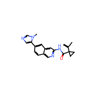 C=C(C)C1(C(=O)Nc2cc3cc(-c4cncn4C)ccc3cn2)CC1